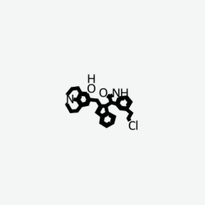 O=C1Nc2ccc(CCCl)cc2C1C1C(Cc2cc3c4c(c2O)CCCN4CCC3)=Cc2ccccc21